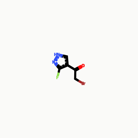 O=C(CBr)c1c[nH]nc1F